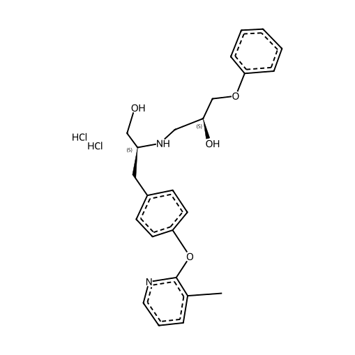 Cc1cccnc1Oc1ccc(C[C@@H](CO)NC[C@H](O)COc2ccccc2)cc1.Cl.Cl